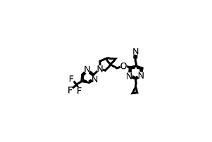 N#Cc1cnc(C2CC2)nc1OCC12CC1CN(c1ncc(C(F)(F)F)cn1)C2